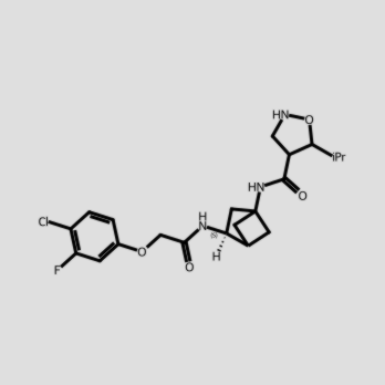 CC(C)C1ONCC1C(=O)NC12CC(C1)[C@@H](NC(=O)COc1ccc(Cl)c(F)c1)C2